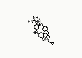 N=C(N)Nc1ccc(N[C@@H]2CC[C@@]3(O)[C@@H]4N(CC5CC5)C5C6C54Cc4ccc(O)cc4[C@]63C2)cc1